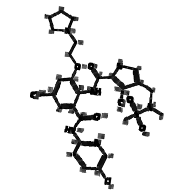 CN(Cc1csc(C(=O)Nc2c(OCCN3CCCC3)cc(Cl)cc2C(=O)Nc2ccc(Cl)cn2)c1Cl)S(C)(=O)=O